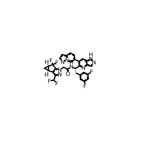 O=C(Cn1nc(C(F)F)c2c1C(F)(F)[C@@H]1C[C@H]21)N[C@@H](Cc1cc(F)cc(F)c1)c1nc2cn[nH]c2cc1-c1ccc2ccnn2c1